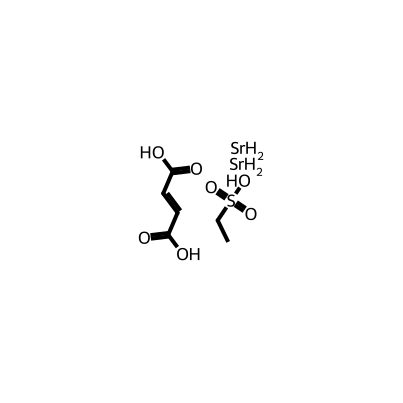 CCS(=O)(=O)O.O=C(O)C=CC(=O)O.[SrH2].[SrH2]